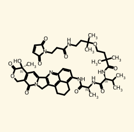 CC(C)[C@H](NC(=O)C(C)(C)CCOC(C)(C)CCNC(=O)CCN1C(=O)C=CC1=O)C(=O)N[C@@H](C)C(=O)Nc1ccc2nc3c(c4c2c1CCC4)Cn1c-3cc2c(c1=O)COC(=O)[C@@]2(C)O